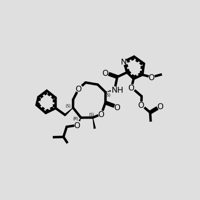 COc1ccnc(C(=O)N[C@H]2CCOC[C@H](Cc3ccccc3)[C@@H](OCC(C)C)[C@H](C)OC2=O)c1OCOC(C)=O